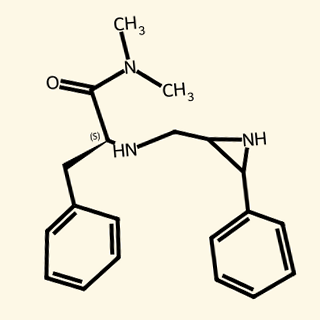 CN(C)C(=O)[C@H](Cc1ccccc1)NCC1NC1c1ccccc1